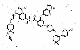 C[C@@H](CCN1CCS(=O)(=NC#N)CC1)Nc1ccc(S(=O)(=O)NC(=O)c2ccc(N3CCN(CC4=C(c5ccc(Cl)cc5)CC(C)(C)CC4)CC3)cc2Oc2cnc3[nH]ccc3c2)cc1[N+](=O)[O-]